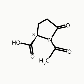 CC(=O)N1C(=O)CC[C@@H]1C(=O)O